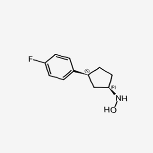 ON[C@@H]1CC[C@H](c2ccc(F)cc2)C1